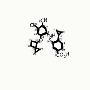 N#Cc1cc(NSc2cc(C(=O)O)ccc2C2CC2)c(OC2CCC23CC3)cc1Cl